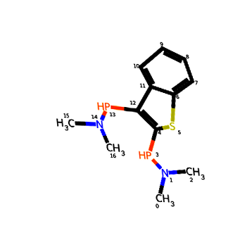 CN(C)Pc1sc2ccccc2c1PN(C)C